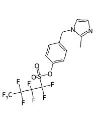 Cc1nccn1Cc1ccc(OS(=O)(=O)C(F)(F)C(F)(F)C(F)(F)C(F)(F)F)cc1